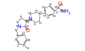 Cc1ccc(CN2CC[C@@H](N3CCC(c4ccc(C(N)=O)cc4)CC3)C2=O)cc1